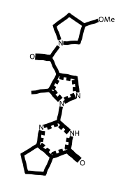 COC1CCN(C(=O)c2cnn(-c3nc4c(c(=O)[nH]3)CCC4)c2C)C1